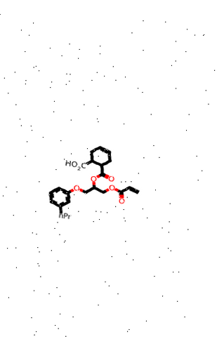 C=CC(=O)OCC(COc1cccc(CCC)c1)OC(=O)C1CC=CCC1C(=O)O